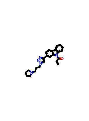 C=CC(=O)n1c2ccccc2c2ccc(-c3cn(CCCN4CCCC4)nn3)cc21